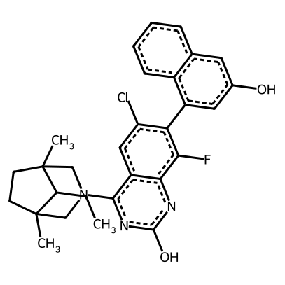 CCC1C2(C)CCC1(C)CN(c1nc(O)nc3c(F)c(-c4cc(O)cc5ccccc45)c(Cl)cc13)C2